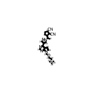 CC(C1CCC(C#N)C1C#N)n1cc(-c2ncnc3c2ccn3COCC[Si](C)(C)C)cn1